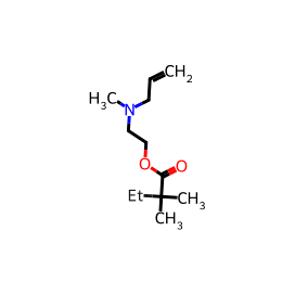 C=CCN(C)CCOC(=O)C(C)(C)CC